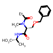 CCC(=O)N(C)[C@H](COCc1ccccc1)C(=O)N[C@H](C)C(=O)O